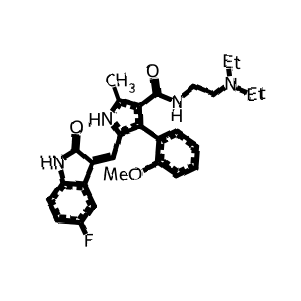 CCN(CC)CCNC(=O)c1c(C)[nH]c(/C=C2\C(=O)Nc3ccc(F)cc32)c1-c1ccccc1OC